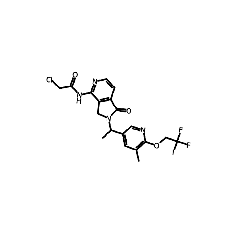 Cc1cc(C(C)N2Cc3c(ccnc3NC(=O)CCl)C2=O)cnc1OCC(F)(F)I